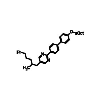 CCCCCCCCOc1ccc(-c2ccc(-c3ncc(CC(C)CCCC(C)C)cn3)cc2)cc1